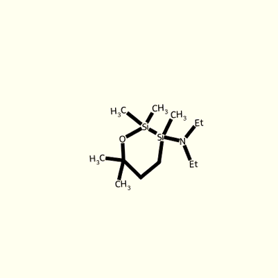 CCN(CC)[Si]1(C)CCC(C)(C)O[Si]1(C)C